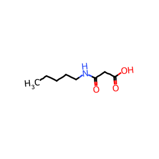 CCCCCNC(=O)CC(=O)O